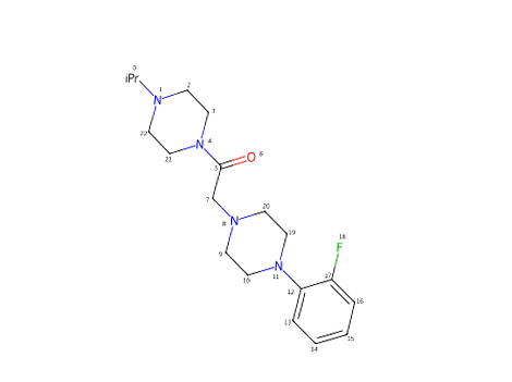 CC(C)N1CCN(C(=O)CN2CCN(c3ccccc3F)CC2)CC1